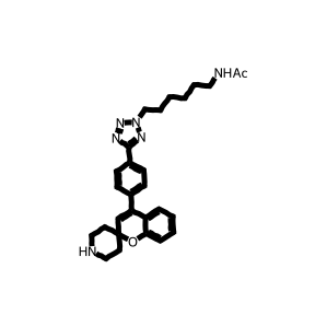 CC(=O)NCCCCCCn1nnc(-c2ccc(C3=CC4(CCNCC4)Oc4ccccc43)cc2)n1